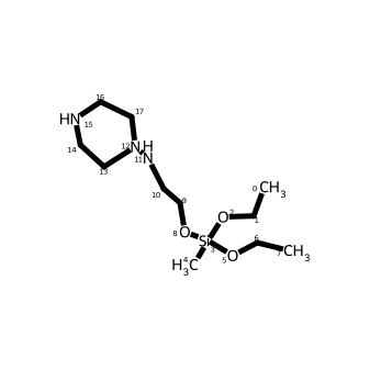 CCO[Si](C)(OCC)OCCNN1CCNCC1